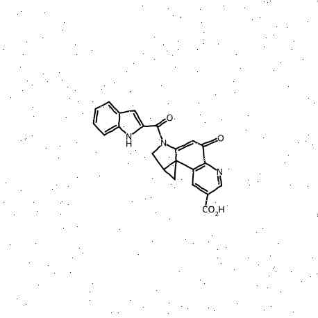 O=C(O)c1cnc2c(c1)C13CC1CN(C(=O)c1cc4ccccc4[nH]1)C3=CC2=O